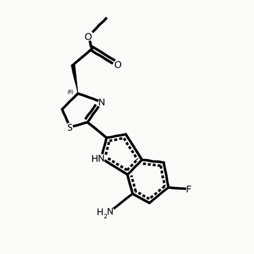 COC(=O)C[C@@H]1CSC(c2cc3cc(F)cc(N)c3[nH]2)=N1